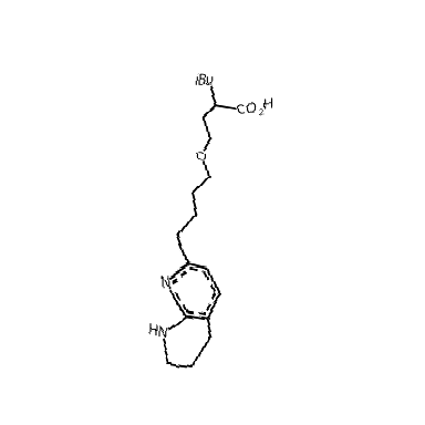 CCC(C)C(CCOCCCCc1ccc2c(n1)NCCC2)C(=O)O